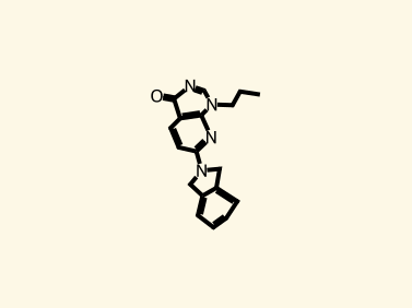 CCCn1cnc(=O)c2ccc(N3Cc4ccccc4C3)nc21